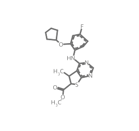 COC(=O)C1Sc2ncnc(Nc3ccc(F)cc3OC3CCCC3)c2C1C